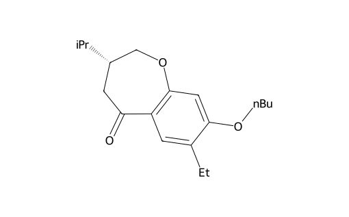 CCCCOc1cc2c(cc1CC)C(=O)C[C@H](C(C)C)CO2